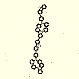 c1ccc(N(c2ccc(-c3ccc4c(c3)oc3cc(-c5ccc6c(c5)c5ccc7ccc(N(c8ccccc8)c8ccc(-c9ccc%10oc%11ccccc%11c%10c9)cc8)cc7c5n6-c5ccccc5)ccc34)cc2)c2ccc3ccc4c5ccccc5n(-c5ccccc5)c4c3c2)cc1